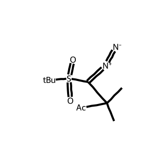 CC(=O)C(C)(C)C(=[N+]=[N-])S(=O)(=O)C(C)(C)C